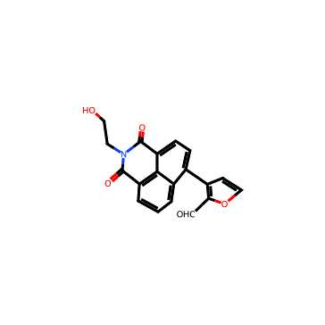 O=Cc1occc1-c1ccc2c3c(cccc13)C(=O)N(CCO)C2=O